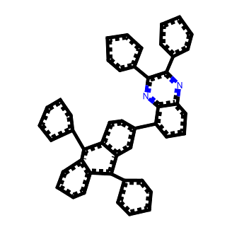 c1ccc(-c2nc3cccc(-c4ccc5c(-c6ccccc6)c6ccccc6c(-c6ccccc6)c5c4)c3nc2-c2ccccc2)cc1